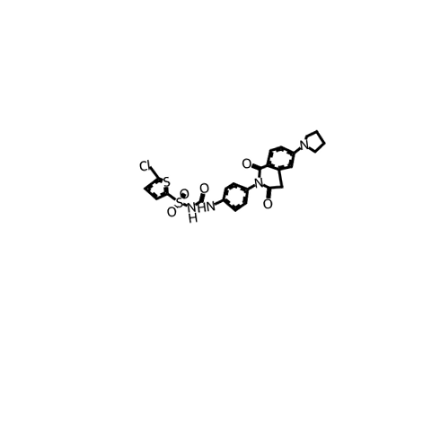 O=C(Nc1ccc(N2C(=O)Cc3cc(N4CCCC4)ccc3C2=O)cc1)NS(=O)(=O)c1ccc(Cl)s1